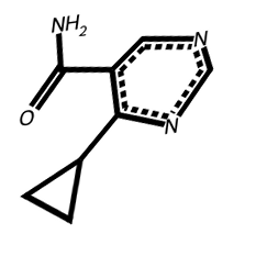 NC(=O)c1cncnc1C1CC1